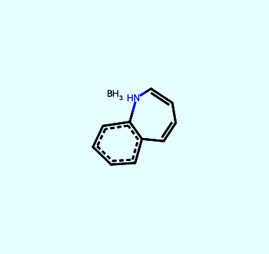 B.C1=CNc2ccccc2C=C1